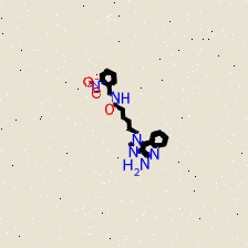 Nc1nc2ccccc2c2c1ncn2CCCCCC(=O)NCc1ccccc1[N+](=O)[O-]